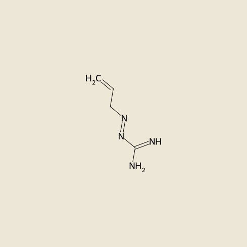 C=CCN=NC(=N)N